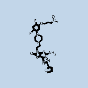 C[S@+]([O-])CCCOc1cc(N2CCN(CCn3c(=O)sc4c3nc(N)n3nc(-c5ccco5)nc43)CC2)c(F)cc1F